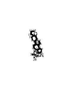 C[C@]12CC=C3C(CC[C@@]45CC6(CCCO6)CC[C@@]34O5)C1CC[C@@]2(C#N)O[Si](C)(C)C